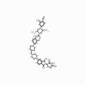 C[C@@H]1CN(c2ccc(C#N)c(Cl)c2)[C@@H](C)CN1C(=O)Nc1ccc(N2CCC(CN3CCN(c4ccc5c(c4)C(=O)N(C4CCC(=O)NC4=O)C5=O)CC3)CC2)cc1F